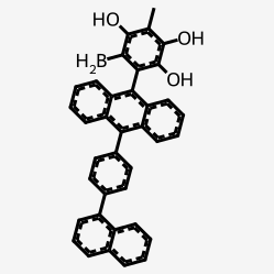 Bc1c(O)c(C)c(O)c(O)c1-c1c2ccccc2c(-c2ccc(-c3cccc4ccccc34)cc2)c2ccccc12